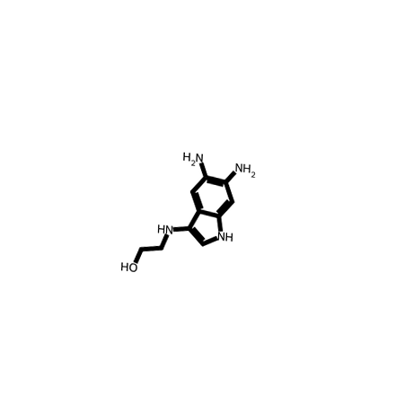 Nc1cc2[nH]cc(NCCO)c2cc1N